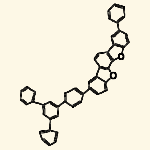 c1ccc(-c2cc(-c3ccccc3)cc(-c3ccc(-c4ccc5oc6c(ccc7c8cc(-c9ccccc9)ccc8oc76)c5c4)cc3)c2)cc1